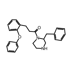 O=C(CCc1ccccc1Oc1[c]cccc1)N1CCNCC1Cc1ccccc1